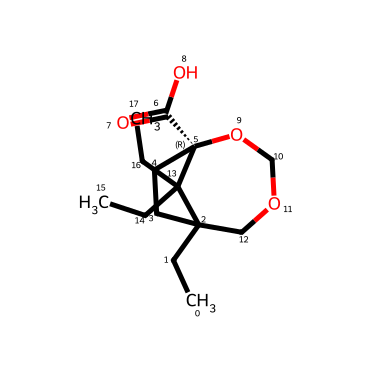 CCC12CC[C@@](C(=O)O)(OCOC1)C2(CC)CC